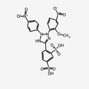 COc1cc([N+](=O)[O-])ccc1N1N=C(c2ccc(S(=O)(=O)O)cc2S(=O)(=O)O)NN1c1ccc([N+](=O)[O-])cc1